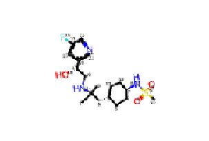 CC(C)(C[C@H]1CC[C@H](NS(C)(=O)=O)CC1)NC[C@H](O)c1cncc(F)c1